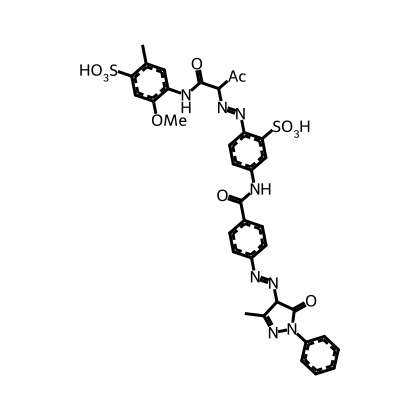 COc1cc(S(=O)(=O)O)c(C)cc1NC(=O)C(/N=N/c1ccc(NC(=O)c2ccc(/N=N/C3C(=O)N(c4ccccc4)N=C3C)cc2)cc1S(=O)(=O)O)C(C)=O